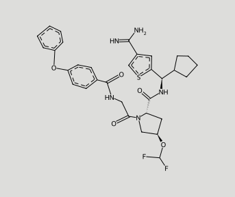 N=C(N)c1csc([C@H](NC(=O)[C@@H]2C[C@@H](OC(F)F)CN2C(=O)CNC(=O)c2ccc(Oc3ccccc3)cc2)C2CCCC2)c1